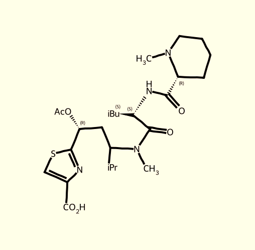 CC[C@H](C)[C@H](NC(=O)[C@H]1CCCCN1C)C(=O)N(C)C(C[C@@H](OC(C)=O)c1nc(C(=O)O)cs1)C(C)C